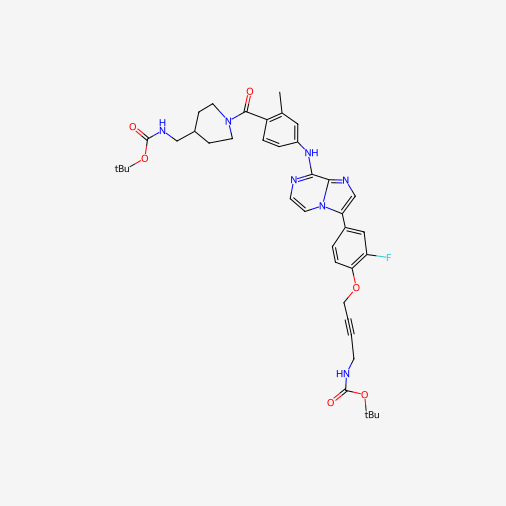 Cc1cc(Nc2nccn3c(-c4ccc(OCC#CCNC(=O)OC(C)(C)C)c(F)c4)cnc23)ccc1C(=O)N1CCC(CNC(=O)OC(C)(C)C)CC1